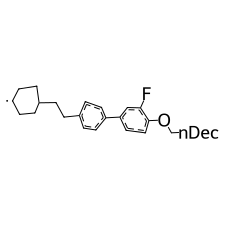 CCCCCCCCCCCOc1ccc(-c2ccc(CCC3CC[CH]CC3)cc2)cc1F